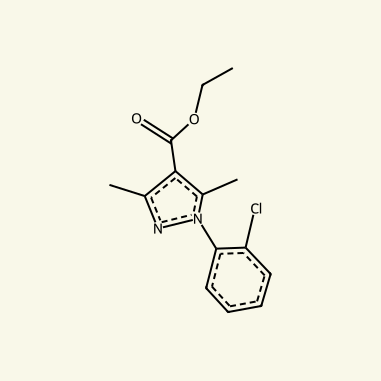 CCOC(=O)c1c(C)nn(-c2ccccc2Cl)c1C